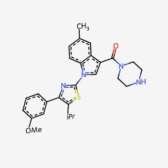 COc1cccc(-c2nc(-n3cc(C(=O)N4CCNCC4)c4cc(C)ccc43)sc2C(C)C)c1